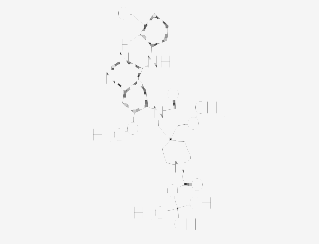 COCC1(CN(C=O)c2cc3c(Nc4cccc(Cl)c4F)ncnc3cc2OC)CCN(C(=O)OC(C)(C)C)CC1